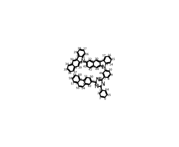 c1ccc(-c2nc(-c3cccc(-n4c5ccccc5c5cc6cc(-n7c8ccccc8c8cc9ccccc9cc87)ccc6cc54)c3)nc(-c3ccc4c(ccc5ccccc54)c3)n2)cc1